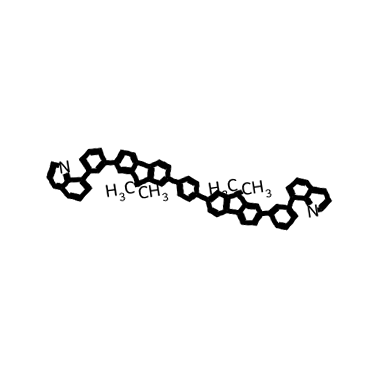 CC1(C)c2cc(-c3ccc(-c4ccc5c(c4)C(C)(C)c4cc(-c6cccc(-c7cccc8cccnc78)c6)ccc4-5)cc3)ccc2-c2ccc(-c3cccc(-c4cccc5cccnc45)c3)cc21